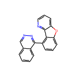 c1ccc2c(-c3cccc4oc5cccnc5c34)nncc2c1